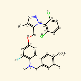 Cc1cc(CN(C)c2ccc(OCc3c(C(C)C)cnn3-c3c(Cl)cccc3Cl)cc2F)ccc1C(=O)O